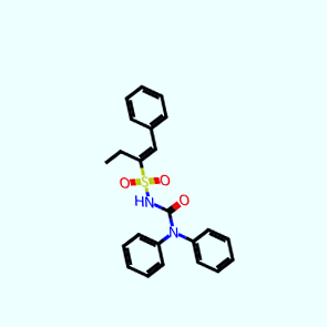 CC/C(=C\c1ccccc1)S(=O)(=O)NC(=O)N(c1ccccc1)c1ccccc1